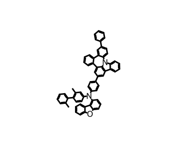 Cc1ccccc1-c1ccc(N(c2ccc(-c3cc4c5c(c3)c3ccccc3n5-c3ccc(-c5ccccc5)cc3-c3ccccc3-4)cc2)c2cccc3oc4ccccc4c23)cc1C